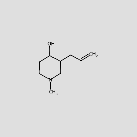 C=CCC1CN(C)CCC1O